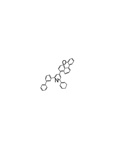 C1=CC(c2cc(-c3ccc4c5c(cccc35)-c3ccccc3O4)cc(-c3cccc(-c4ccccc4)c3)n2)=CCC1